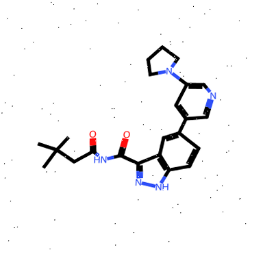 CC(C)(C)CC(=O)NC(=O)c1n[nH]c2ccc(-c3cncc(N4CCCC4)c3)cc12